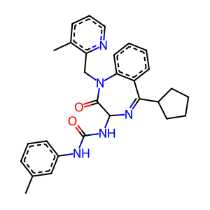 Cc1cccc(NC(=O)NC2N=C(C3CCCC3)c3ccccc3N(Cc3ncccc3C)C2=O)c1